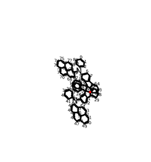 c1ccc(N(c2ccc3c(c2)C(c2ccccc2)(C2(c4ccccc4)c4ccccc4-c4ccc(N(c5ccccc5)c5ccc6ccc7cccc8ccc5c6c78)cc42)c2ccccc2-3)c2ccc3ccc4cccc5ccc2c3c45)cc1